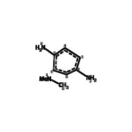 CNC.Nc1ccc(N)cc1